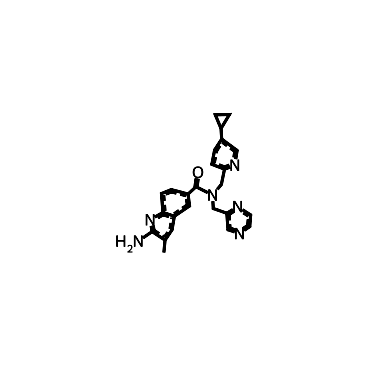 Cc1cc2cc(C(=O)N(Cc3ccc(C4CC4)cn3)Cc3cnccn3)ccc2nc1N